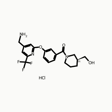 Cl.NCc1cc(Oc2cccc(C(=O)N3CCC[C@H](CO)C3)c2)nc(C(F)(F)F)c1